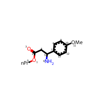 CCCOC(=O)CC(N)c1ccc(OC)cc1